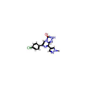 Cn1cc(-c2nc(-c3ccc(Cl)cc3)cn3c(=O)[nH]nc23)cn1